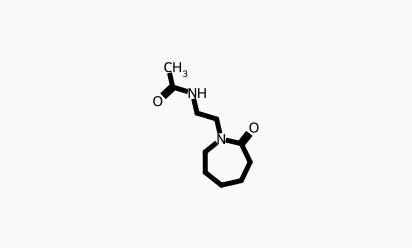 CC(=O)NCCN1CCCCCC1=O